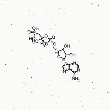 BP(=O)(OC[C@H]1O[C@@H](n2cnc3c(N)ncnc32)C(O)C1O)OP(=O)(O)CP(=O)(O)O